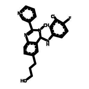 CN1C(c2cccnc2)=Nc2ccc(CCCO)cc2C1Nc1ccc(F)c(Cl)c1